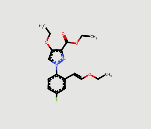 CCOC=Cc1cc(F)ccc1-n1cc(OCC)c(C(=O)OCC)n1